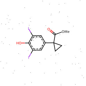 COC(=O)C1(c2cc(I)c(O)c(I)c2)CC1